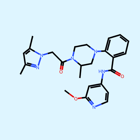 COc1cc(NC(=O)c2ccccc2N2CCN(C(=O)Cn3nc(C)cc3C)C(C)C2)ccn1